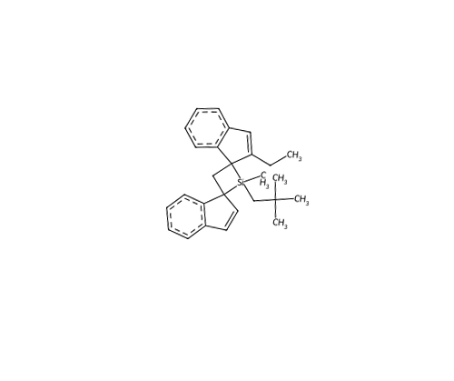 CCC1=Cc2ccccc2C12CC1(C=Cc3ccccc31)[Si]2(C)CC(C)(C)C